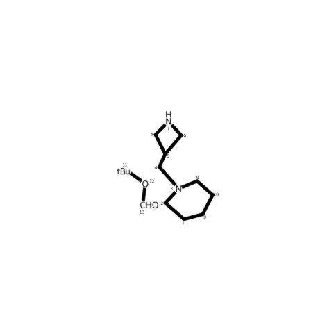 C1CCN(CC2CNC2)CC1.CC(C)(C)OC=O